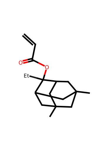 C=CC(=O)OC1(CC)C2CC3(C)CC1CC(C)(C2)C3